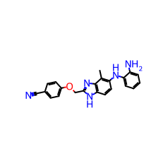 Cc1c(Nc2ccccc2N)ccc2[nH]c(COc3ccc(C#N)cc3)nc12